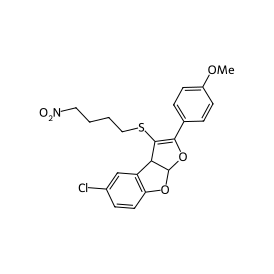 COc1ccc(C2=C(SCCCC[N+](=O)[O-])C3c4cc(Cl)ccc4OC3O2)cc1